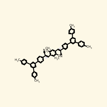 COc1cc(/C=C(\C#N)c2ccc(-c3cc(-c4ccc(C)cc4)cc(-c4ccc(C)cc4)c3)cc2)c(OC)cc1/C=C(\C#N)c1ccc(-c2cc(-c3ccc(C)cc3)cc(-c3ccc(C)cc3)c2)cc1